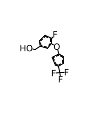 OCc1ccc(F)c(Oc2ccc(C(F)(F)F)cc2)c1